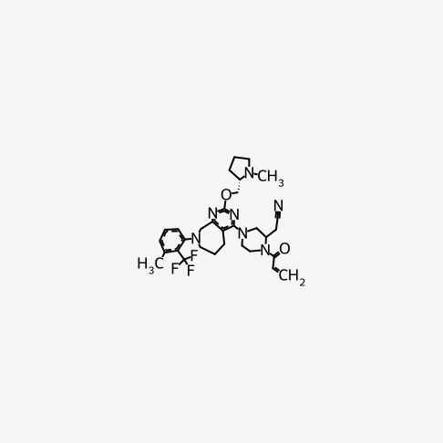 C=CC(=O)N1CCN(c2nc(OC[C@@H]3CCCN3C)nc3c2CCCN(c2cccc(C)c2C(F)(F)F)C3)CC1CC#N